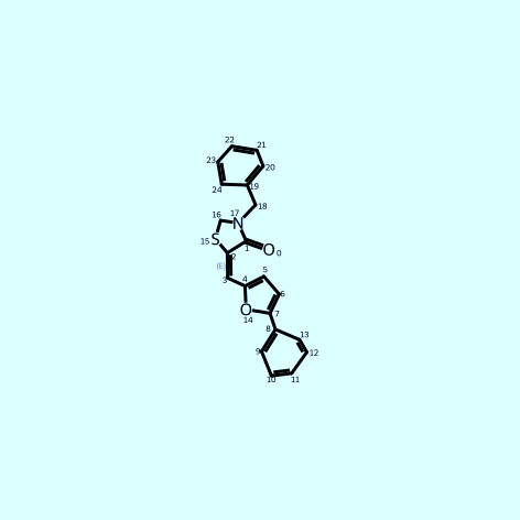 O=C1/C(=C\c2ccc(-c3ccccc3)o2)SCN1Cc1ccccc1